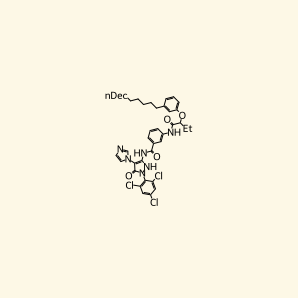 CCCCCCCCCCCCCCCc1cccc(OC(CC)C(=O)Nc2cccc(C(=O)Nc3[nH]n(-c4c(Cl)cc(Cl)cc4Cl)c(=O)c3-n3ccnc3)c2)c1